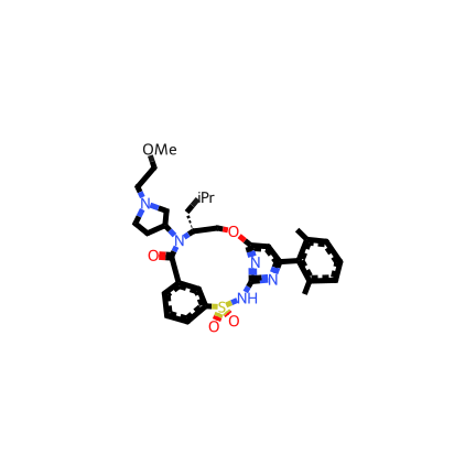 COCCN1CCC(N2C(=O)c3cccc(c3)S(=O)(=O)Nc3nc(cc(-c4c(C)cccc4C)n3)OC[C@H]2CC(C)C)C1